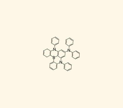 C1=CCC2=C(C1)B1c3ccccc3N(c3ccccc3)c3cc(N(c4ccccc4)c4ccccc4)cc(c31)N2c1ccccc1